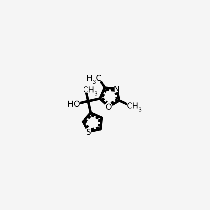 Cc1nc(C)c(C(C)(O)c2ccsc2)o1